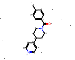 Cc1ccc(C(=O)N2CCC(c3ccncc3)CC2)cc1